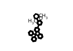 CC12CCCCC1(C)c1cc(-c3ccc4c(c3)-c3ccccc3C4(c3ccccc3)c3ccccc3)ccc1O2